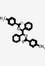 Cc1ccc(C(=O)O/C(=C(/OC(=O)c2ccc(C)cc2)c2ccccc2)c2ccccc2)cc1